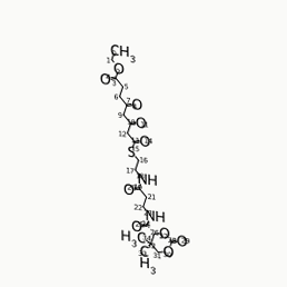 CCOC(=O)CCC(=O)CC(=O)CC(=O)SCCNC(=O)CCNC(=O)[C@@H]1OC(=O)OCC1(C)C